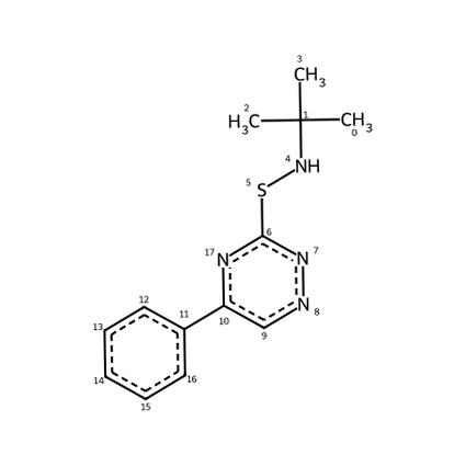 CC(C)(C)NSc1nncc(-c2ccccc2)n1